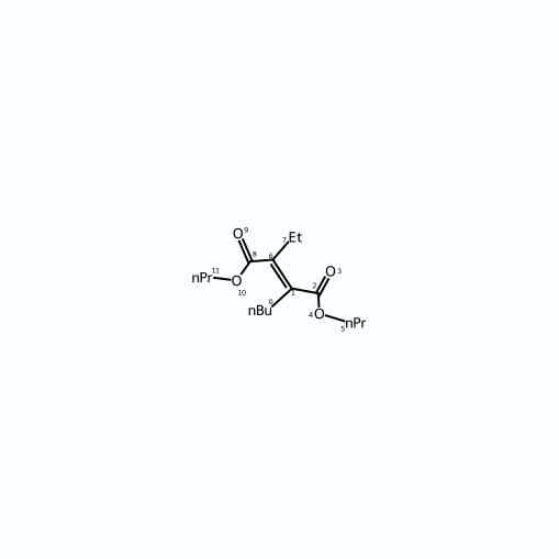 CCCCC(C(=O)OCCC)=C(CC)C(=O)OCCC